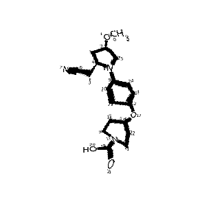 CO[C@@H]1C[C@H](CC#N)N(c2ccc(OC3CCN(C(=O)O)CC3)cc2)C1